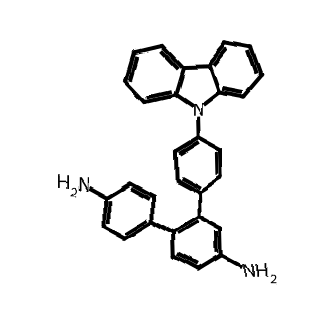 Nc1ccc(-c2ccc(N)cc2-c2ccc(-n3c4ccccc4c4ccccc43)cc2)cc1